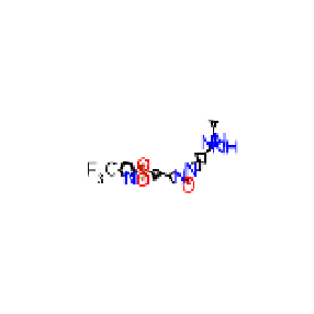 O=C(N1CC(C23CC(S(=O)(=O)c4ccc(C(F)(F)F)cn4)(C2)C3)C1)N1CC2(CC(c3nc(C4CC4)n[nH]3)C2)C1